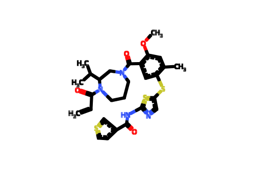 C=CC(=O)N1CCCN(C(=O)c2cc(Sc3cnc(NC(=O)c4ccsc4)s3)c(C)cc2OC)CC1C(C)C